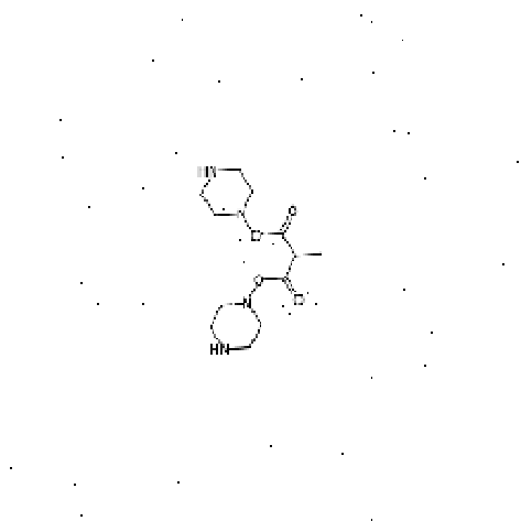 CC(C(=O)ON1CCNCC1)C(=O)ON1CCNCC1